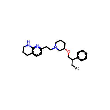 CC(=O)C[C@@H](CO[C@@H]1CCCN(CCc2ccc3c(n2)NCCC3)C1)c1ccccc1